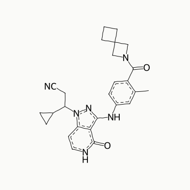 Cc1cc(Nc2nn(C(CC#N)C3CC3)c3cc[nH]c(=O)c23)ccc1C(=O)N1CC2(CCC2)C1